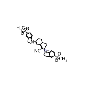 CS(=O)(=O)c1ccc2c(c1)CCN2C1=CC2=C(C#N)/C(=[N+]3\CCc4cc(S(C)(=O)=O)ccc43)CCC2CC1